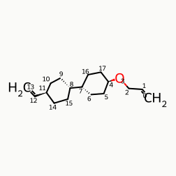 C=CCO[C@H]1CC[C@H]([C@H]2CC[C@H](C=C)CC2)CC1